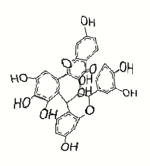 O=c1c(O)c(-c2cc(O)c(O)c(O)c2C2c3ccc(O)cc3OC(c3ccc(O)c(O)c3)[C@H]2O)oc2cc(O)ccc12